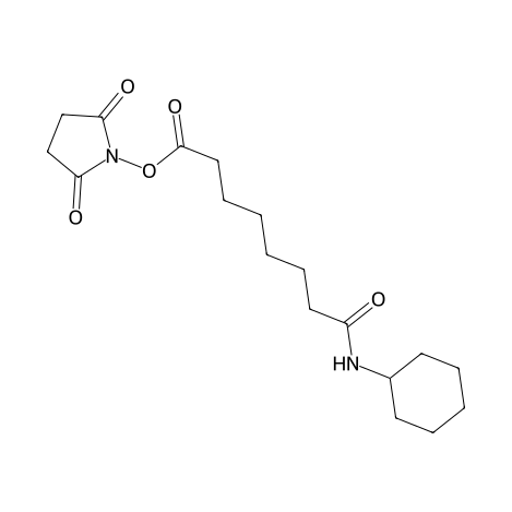 O=C(CCCCCCC(=O)ON1C(=O)CCC1=O)NC1CCCCC1